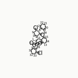 O=C/C(=C(\c1ccc(Cl)cc1)c1ccccc1OCc1ccccc1)S(=O)(=O)Cc1ccccc1Cl